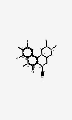 Cc1c(F)cc2c3c(c(=O)n(C)c2c1F)N(C#N)CC1CN(C)C(C)CN31